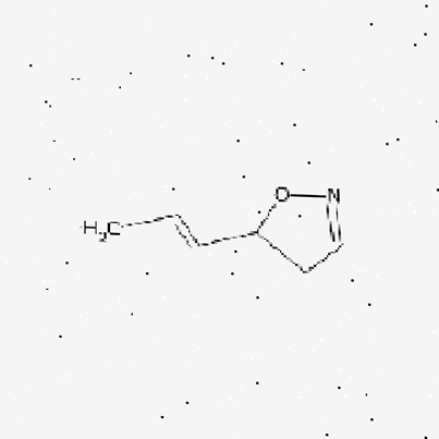 [CH2]C=CC1CC=NO1